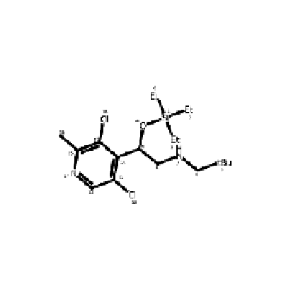 CC[Si](CC)(CC)OC(CNCC(C)(C)C)c1c(Cl)cnc(C)c1Cl